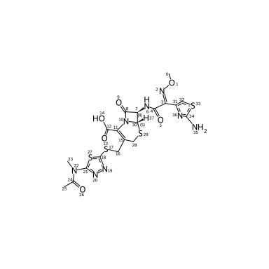 CON=C(C(=O)N[C@@H]1C(=O)N2C(C(=O)O)=C(CSc3nnc(N(C)C(C)=O)s3)CS[C@@H]12)c1csc(N)n1